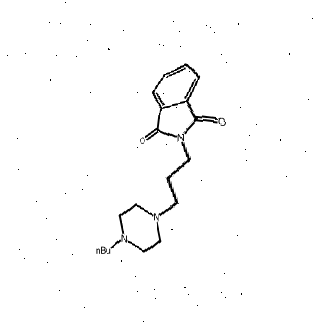 CCCCN1CCN(CCCN2C(=O)c3ccccc3C2=O)CC1